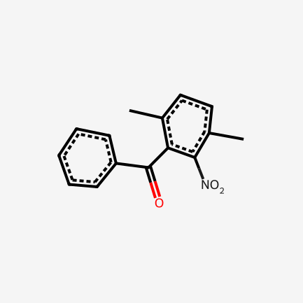 Cc1ccc(C)c([N+](=O)[O-])c1C(=O)c1ccccc1